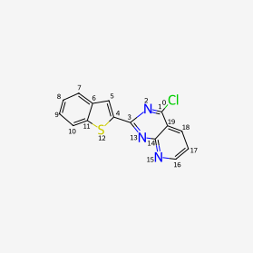 Clc1nc(-c2cc3ccccc3s2)nc2ncccc12